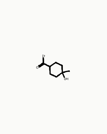 CCC(=O)C1CCC(C)(O)CC1